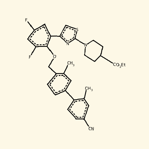 CCOC(=O)C1CCN(c2nc(-c3cc(F)cc(F)c3OCc3ccc(-c4ccc(C#N)cc4C)cc3C)cs2)CC1